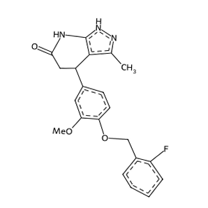 COc1cc(C2CC(=O)Nc3[nH]nc(C)c32)ccc1OCc1ccccc1F